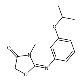 CC(C)Oc1cccc(N=C2OCC(=O)N2C)c1